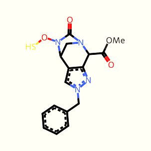 COC(=O)C1c2nn(Cc3ccccc3)cc2C2CN1C(=O)N2OS